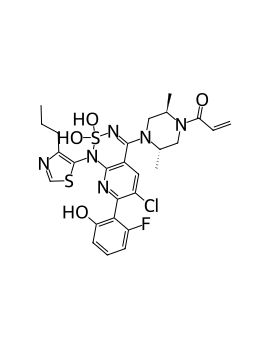 C=CC(=O)N1C[C@H](C)N(C2=NS(O)(O)N(c3scnc3CCC)c3nc(-c4c(O)cccc4F)c(Cl)cc32)C[C@H]1C